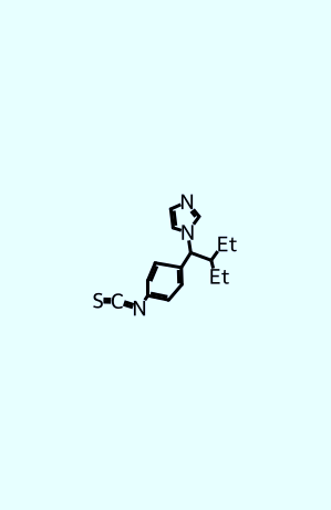 CCC(CC)C(c1ccc(N=C=S)cc1)n1ccnc1